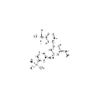 CC(C)Nc1nc(Nc2ccnc(C(C)(C)C#N)c2)nc(-c2cccc(C(C)(F)F)n2)n1